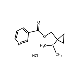 CN(C)C1(COC(=O)c2cccnc2)CC1.Cl